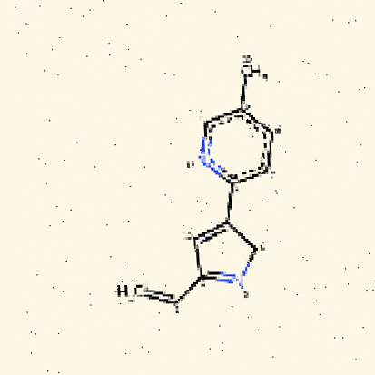 C=CC1=NCC(c2ccc(C)cn2)=C1